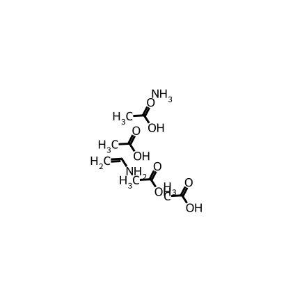 C=CN.CC(=O)O.CC(=O)O.CC(=O)O.CC(=O)O.N